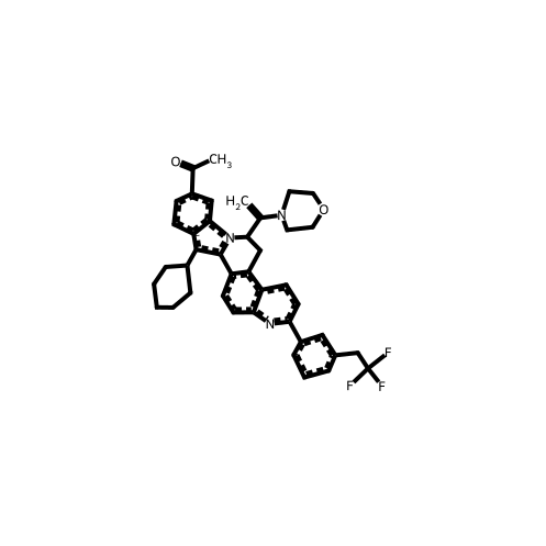 C=C(C1Cc2c(ccc3nc(-c4cccc(CC(F)(F)F)c4)ccc23)-c2c(C3CCCCC3)c3ccc(C(C)=O)cc3n21)N1CCOCC1